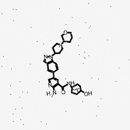 Nc1ncc(-c2ccc3c(cnn3C3CCN(C4CCCOC4)CC3)c2)cc1C(=O)NC12CCC(O)(CC1)CC2